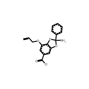 C=CCOc1cc(C(=O)Cl)cc2c1OC(N)(c1ccccc1)O2